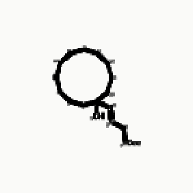 CCCCCCCCCCCN=NC1(O)CCCCCCCCCCC1